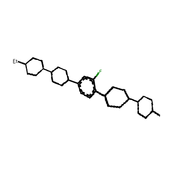 CCC1CCC(C2CCC(c3ccc(C4CCC(C5CCC(C)CC5)CC4)c(F)c3)CC2)CC1